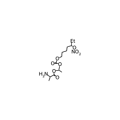 CCC(CCCCOC(=O)OC(C)OC(=O)C(C)N)O[N+](=O)[O-]